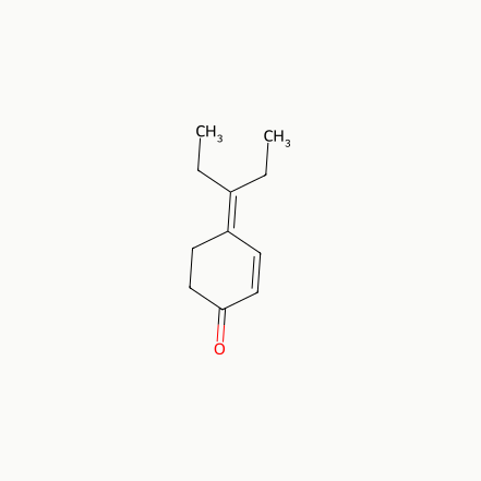 CCC(CC)=C1C=CC(=O)CC1